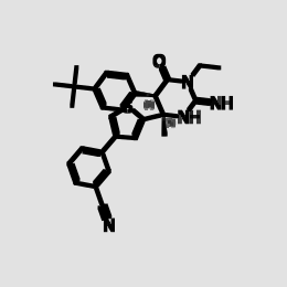 CCN1C(=N)N[C@](C)(c2cc(-c3cccc(C#N)c3)cs2)[C@@H](c2ccc(C(C)(C)C)cc2)C1=O